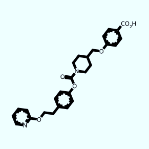 O=C(O)c1ccc(OCC2CCN(C(=O)Oc3ccc(CCOc4ccccn4)cc3)CC2)cc1